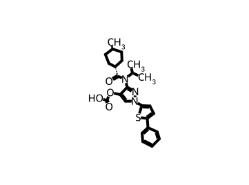 CC(C)N(c1nn(-c2ccc(-c3ccccc3)s2)cc1OC(=O)O)C(=O)[C@H]1CC[C@H](C)CC1